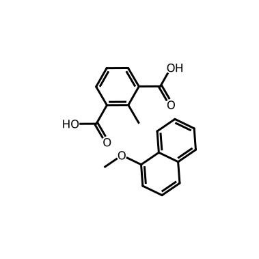 COc1cccc2ccccc12.Cc1c(C(=O)O)cccc1C(=O)O